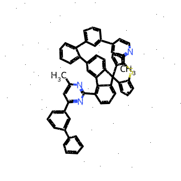 Cc1cc(-c2cccc(-c3ccccc3-c3ccc4c(c3)-c3c(-c5nc(C)cc(-c6cccc(-c7ccccc7)c6)n5)cccc3C43c4ccccc4Sc4ccccc43)c2)ccn1